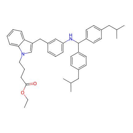 CCOC(=O)CCCn1cc(Cc2cccc(NC(c3ccc(CC(C)C)cc3)c3ccc(CC(C)C)cc3)c2)c2ccccc21